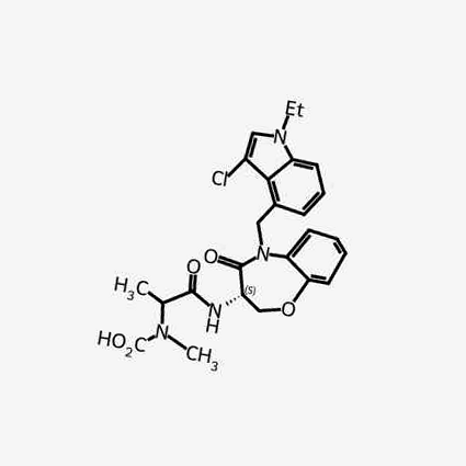 CCn1cc(Cl)c2c(CN3C(=O)[C@@H](NC(=O)C(C)N(C)C(=O)O)COc4ccccc43)cccc21